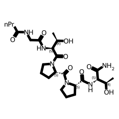 CCCC(=O)NCC(=O)N[C@H](C(=O)N1CCC[C@H]1C(=O)N1CCC[C@H]1C(=O)N[C@H](C(N)=O)[C@@H](C)O)[C@@H](C)O